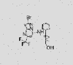 OC[C@@H]1C[C@]1(CNc1cc(C(F)(F)F)nc2cc(Br)nn12)c1ccccc1